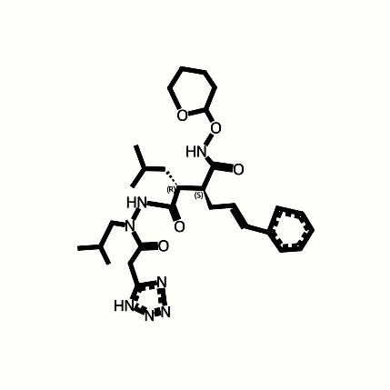 CC(C)C[C@@H](C(=O)NN(CC(C)C)C(=O)Cc1nnn[nH]1)[C@H](CC=Cc1ccccc1)C(=O)NOC1CCCCO1